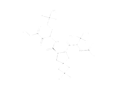 CNC(=O)C(=O)C(CCC(C)(F)F)NC(=O)[C@@H]1CC2(CN1C(=O)C(NC(=O)O)C(C)(C)C)CC(F)(F)C2